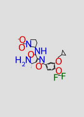 COC(=O)N1CCCC(NC(=O)c2nc(-c3ccc(OC(F)F)c(OCC4CC4)c3)oc2[C@H](C)N)C1